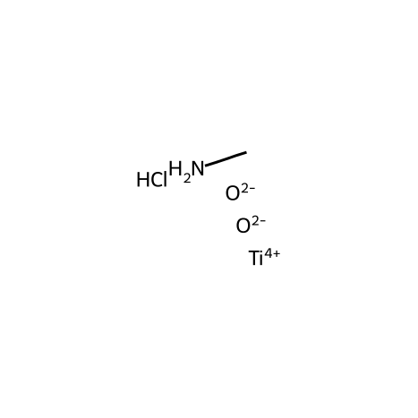 CN.Cl.[O-2].[O-2].[Ti+4]